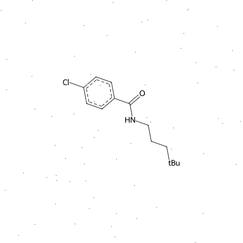 CC(C)(C)CCCNC(=O)c1ccc(Cl)cc1